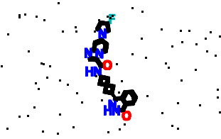 O=C(N[C@H]1CC2(C1)C[C@H](c1n[nH]c(=O)c3ccccc31)C2)c1cnc2cc(N3CC[C@@H](F)C3)ccn12